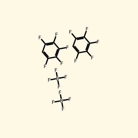 F[B-](F)(F)F.F[B-](F)(F)F.Fc1cc(F)c(F)c(F)c1F.Fc1cc(F)c(F)c(F)c1F